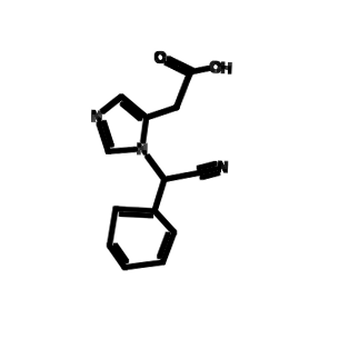 N#CC(c1ccccc1)n1cncc1CC(=O)O